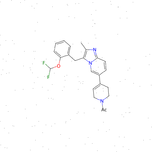 CC(=O)N1CC=C(c2ccc3nc(C)c(Cc4ccccc4OC(F)F)n3c2)CC1